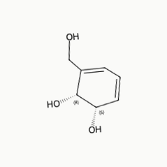 OCC1=CC=C[C@H](O)[C@@H]1O